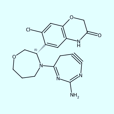 NC1=NC#CCC(N2CCCOC[C@@H]2c2cc3c(cc2Cl)OCC(=O)N3)=N1